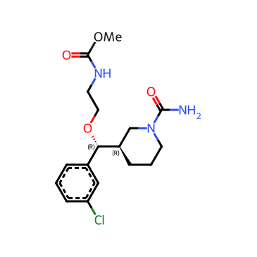 COC(=O)NCCO[C@@H](c1cccc(Cl)c1)[C@@H]1CCCN(C(N)=O)C1